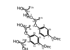 CCCCCCCCCCc1ccc(OB(O)F)cc1.CCCCCCCCCCc1ccc(OB(O)F)cc1.OB(O)F.OB(O)F